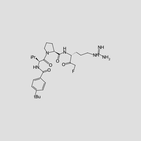 CC(C)[C@H](NC(=O)c1ccc(C(C)(C)C)cc1)C(=O)N1CCC[C@H]1C(=O)N[C@H](CCCNC(=N)N)C(=O)CF